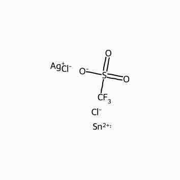 O=S(=O)([O-])C(F)(F)F.[Ag+].[Cl-].[Cl-].[Sn+2]